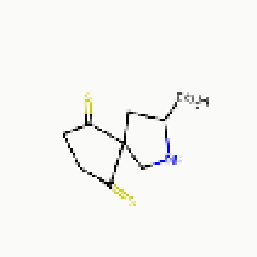 O=C(O)C1CC2(CN1)C(=S)CCC2=S